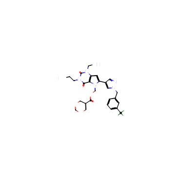 CCCn1c(=O)c2c(cc(-c3cnn(Cc4cccc(C(F)(F)F)c4)c3)n2COC(=O)C2COCOC2)n(CC)c1=O